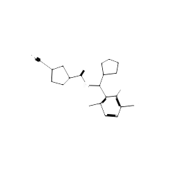 N#CC1CCC(C(=O)NC(c2c(F)ccc(Cl)c2F)C2CCCC2)C1